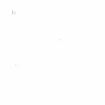 Brc1cc(Sc2ccccc2)c2c(c1)oc1ccccc12